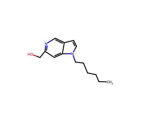 CCCCCCn1ccc2cnc(CO)cc21